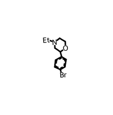 CCN1CCOC(c2ccc(Br)cc2)C1